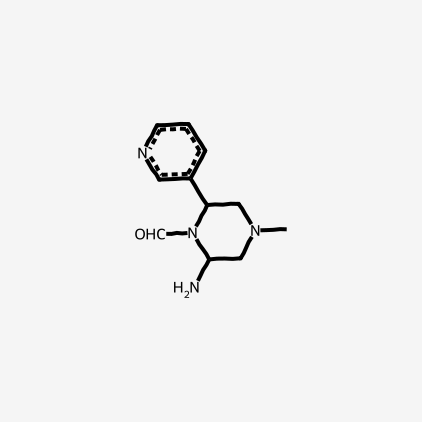 CN1CC(N)N(C=O)C(c2cccnc2)C1